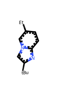 CCc1ccc2nc(C(C)(C)C)cn2c1